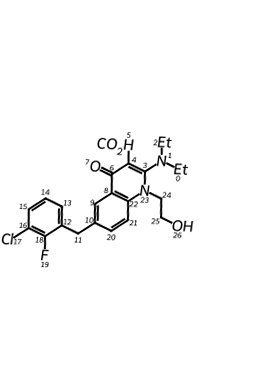 CCN(CC)c1c(C(=O)O)c(=O)c2cc(Cc3cccc(Cl)c3F)ccc2n1CCO